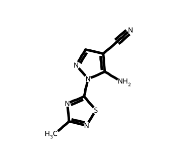 Cc1nsc(-n2ncc(C#N)c2N)n1